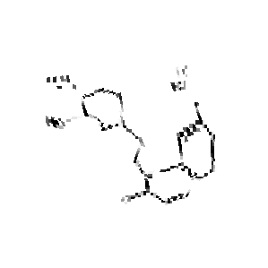 Cl.Cl.N[C@@H]1CCN(CCn2c(=O)ccc3ncc(F)cc32)C[C@@H]1O